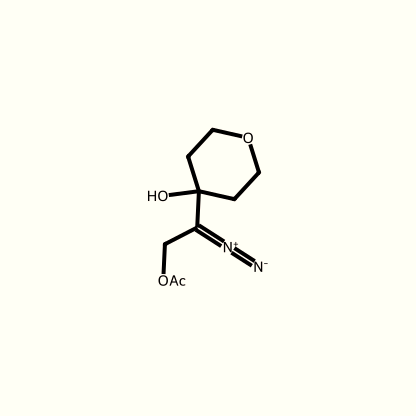 CC(=O)OCC(=[N+]=[N-])C1(O)CCOCC1